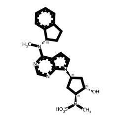 CN(c1ncnc2c1ccn2[C@H]1C[C@H](O)[C@@H](N(C)S(=O)(=O)O)C1)[C@H]1CCc2ccccc21